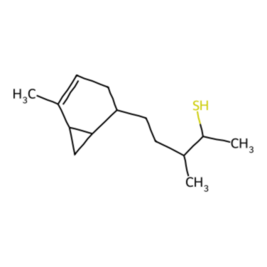 CC1=CCC(CCC(C)C(C)S)C2CC12